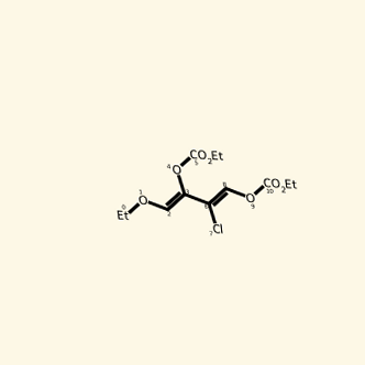 CCOC=C(OC(=O)OCC)C(Cl)=COC(=O)OCC